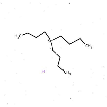 CCC[CH2][Sn]([CH2]CCC)[CH2]CCC.I